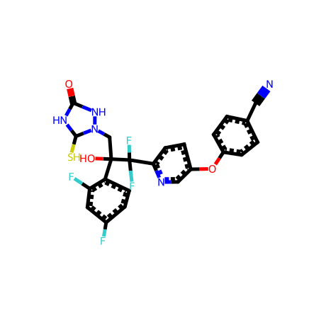 N#Cc1ccc(Oc2ccc(C(F)(F)C(O)(CN3NC(=O)NC3S)c3ccc(F)cc3F)nc2)cc1